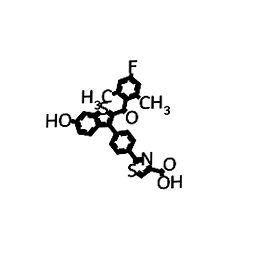 Cc1cc(F)cc(C)c1C(=O)c1sc2cc(O)ccc2c1-c1ccc(-c2nc(C(=O)O)cs2)cc1